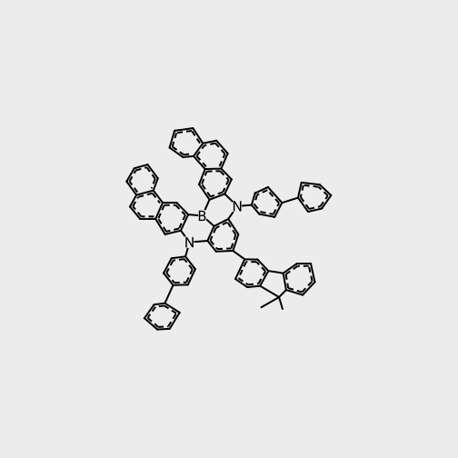 CC1(C)c2ccccc2-c2cc(-c3cc4c5c(c3)N(c3ccc(-c6ccccc6)cc3)c3cc6ccc7ccccc7c6cc3B5c3cc5c(ccc6ccccc65)cc3N4c3ccc(-c4ccccc4)cc3)ccc21